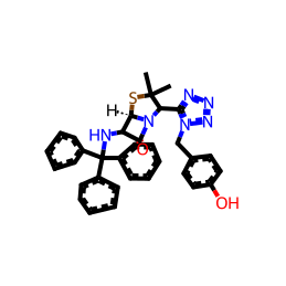 CC1(C)S[C@@H]2C(NC(c3ccccc3)(c3ccccc3)c3ccccc3)C(=O)N2C1c1nnnn1Cc1ccc(O)cc1